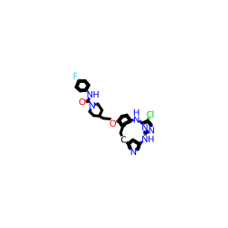 O=C(Nc1ccc(F)cc1)N1CCC(CCOc2ccc3cc2CCc2cncc(c2)Nc2ncc(Cl)c(n2)N3)CC1